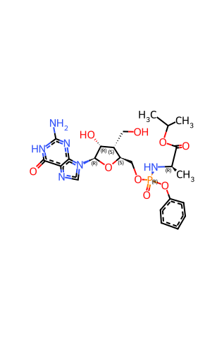 CC(C)OC(=O)[C@@H](C)N[P@@](=O)(OC[C@H]1O[C@@H](n2cnc3c(=O)[nH]c(N)nc32)[C@H](O)[C@@H]1CO)Oc1ccccc1